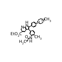 C=CC(=O)Nc1cc(-c2c(-c3ccc(N4CCN(C)CC4)cc3)[nH]c3ncc(C(=O)OCC)cc23)ccc1C